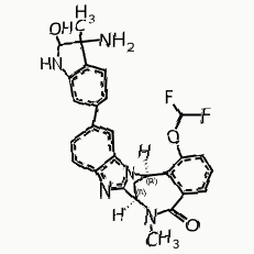 CN1C(=O)c2cccc(OC(F)F)c2[C@H]2C[C@@H]1c1nc3ccc(-c4ccc5c(c4)NC(O)C5(C)N)cc3n12